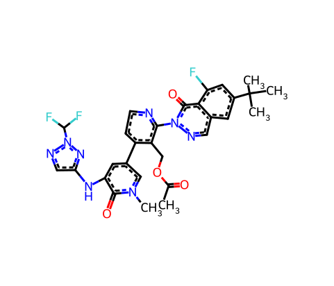 CC(=O)OCc1c(-c2cc(Nc3cnn(C(F)F)n3)c(=O)n(C)c2)ccnc1-n1ncc2cc(C(C)(C)C)cc(F)c2c1=O